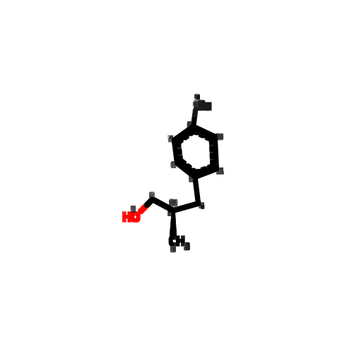 C[C@@H](CO)Cc1ccc(C(C)(C)C)cc1